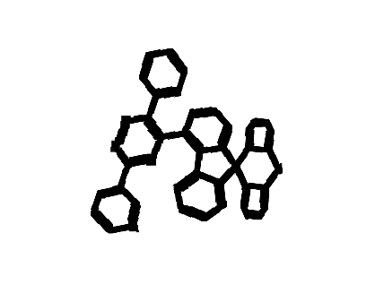 c1ccc(-c2nnc(-c3cccnc3)nc2-c2cccc3c2-c2ccccc2C32c3ccccc3Sc3ccccc32)cc1